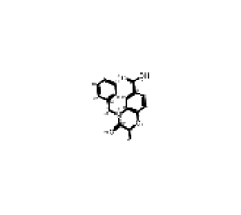 CC1Oc2ccc(C(=O)O)cc2N(Cc2ccccc2)C1=O